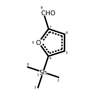 [CH3][Sn]([CH3])([CH3])[c]1ccc(C=O)o1